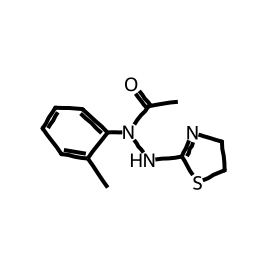 CC(=O)N(NC1=NCCS1)c1ccccc1C